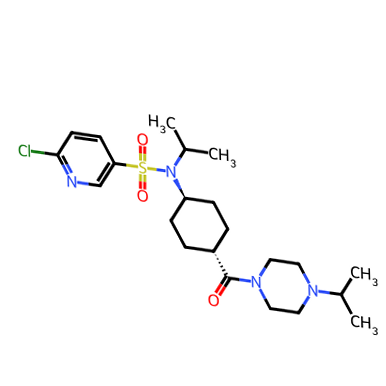 CC(C)N1CCN(C(=O)[C@H]2CC[C@H](N(C(C)C)S(=O)(=O)c3ccc(Cl)nc3)CC2)CC1